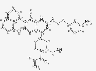 C=C(F)C(=O)N1CCN(c2nc(OCCc3cccc(N)c3)nc3c(F)c(-c4cccc5cccc(Cl)c45)ncc23)C[C@@H]1CC#N